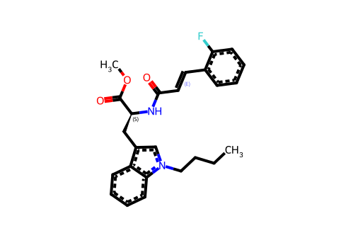 CCCCn1cc(C[C@H](NC(=O)/C=C/c2ccccc2F)C(=O)OC)c2ccccc21